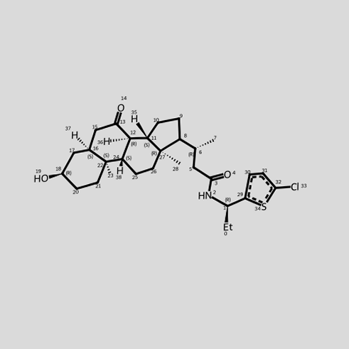 CC[C@@H](NC(=O)C[C@@H](C)C1CC[C@H]2[C@@H]3C(=O)C[C@@H]4C[C@H](O)CC[C@]4(C)[C@H]3CC[C@]12C)c1ccc(Cl)s1